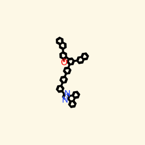 c1cc(-c2ccc(-c3ccc(-c4cc(-c5ccc6ccccc6c5)cc5c4oc4ccc(-c6ccc7ccccc7c6)cc45)cc3)cc2)cc(-c2cnc3c4ccccc4c4ccccc4c3n2)c1